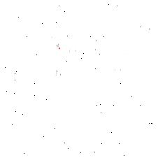 O=C1c2cccc(-n3c4ccccc4c4ccc(-c5ccccc5)cc43)c2C(=O)N1c1c(-c2ccccc2)cccc1-c1ccccc1